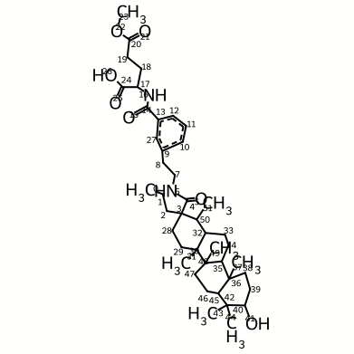 CCCC1(C(=O)NCCc2cccc(C(=O)NC(CCC(=O)OC)C(=O)O)c2)CC[C@]2(C)C(CCC3C4(C)CCC(O)C(C)(C)C4CCC32C)C1C